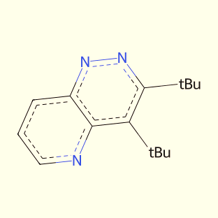 CC(C)(C)c1nnc2cccnc2c1C(C)(C)C